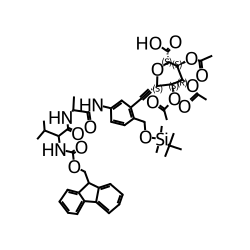 CC(=O)O[C@@H]1[C@@H](OC(C)=O)[C@H](C#Cc2cc(NC(=O)C(C)NC(=O)C(NC(=O)OCC3c4ccccc4-c4ccccc43)C(C)C)ccc2CO[Si](C)(C)C(C)(C)C)O[C@H](C(=O)O)[C@H]1OC(C)=O